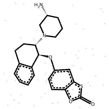 N[C@@H]1CCCN([C@H]2CCc3ccccc3[C@@H]2Oc2ccc3oc(=O)sc3c2)C1